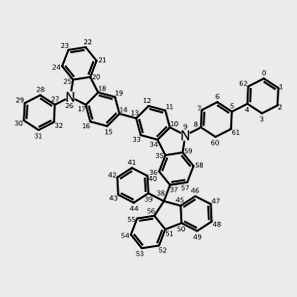 C1=CCCC(C2=CC=C(n3c4ccc(-c5ccc6c(c5)c5ccccc5n6-c5ccccc5)cc4c4cc(C5(c6ccccc6)c6ccccc6-c6ccccc65)ccc43)CC2)=C1